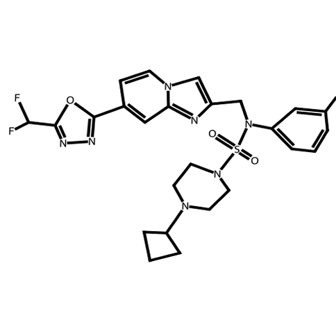 O=S(=O)(N1CCN(C2CCC2)CC1)N(Cc1cn2ccc(-c3nnc(C(F)F)o3)cc2n1)c1cccc(F)c1